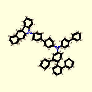 C1=CCCC(c2ccccc2-c2ccc(N(c3ccc(-c4ccccc4)cc3)c3ccc(-c4ccc(-n5c6ccccc6c6cc7ccccc7cc65)cc4)cc3)cc2-c2ccccc2)=C1